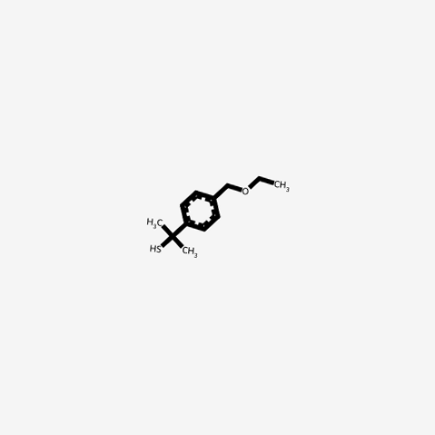 CCOCc1ccc(C(C)(C)S)cc1